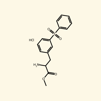 COC(=O)C(N)Cc1cccc(S(=O)(=O)c2ccccc2)c1.Cl